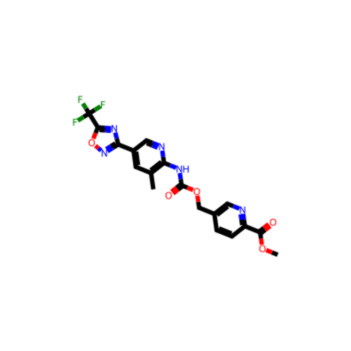 COC(=O)c1ccc(COC(=O)Nc2ncc(-c3noc(C(F)(F)F)n3)cc2C)cn1